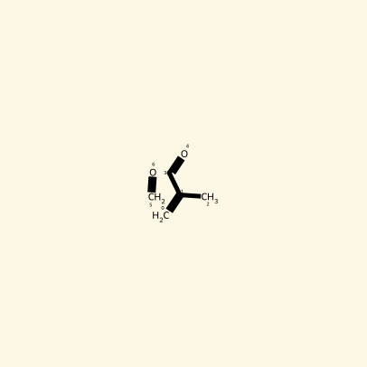 C=C(C)C=O.C=O